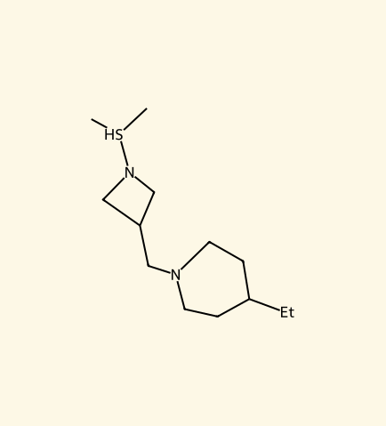 CCC1CCN(CC2CN([SH](C)C)C2)CC1